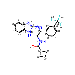 O=C(NCC(Nc1nc2ccccc2[nH]1)c1cccc(C(F)(F)F)c1)C1CCC1